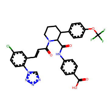 O=C(O)c1ccc(NC(=O)C2C(c3ccc(OC(F)(F)F)cc3)CCCN2C(=O)C=Cc2cc(Cl)ccc2-n2cnnn2)cc1